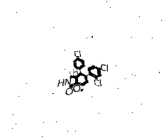 CO[C@@]12CC[C@@H](c3ccc(Cl)cc3Cl)[C@H](c3ccc(Cl)cc3)[C@@H]1[C@@H](C)NC2=O